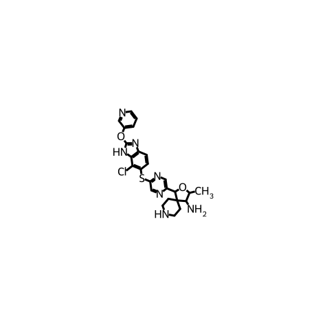 CC1OC(c2cnc(Sc3ccc4nc(Oc5cccnc5)[nH]c4c3Cl)cn2)C2(CCNCC2)C1N